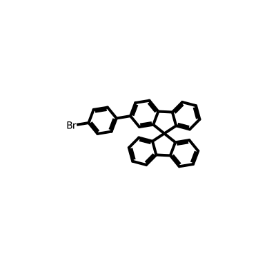 Brc1ccc(-c2ccc3c(c2)C2(c4ccccc4-c4ccccc42)c2ccccc2-3)cc1